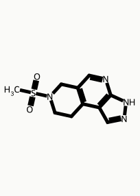 CS(=O)(=O)N1CCc2c(cnc3[nH]ncc23)C1